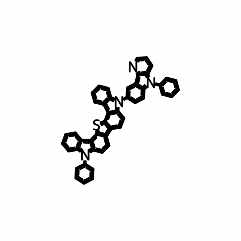 c1ccc(-n2c3ccc(-n4c5ccccc5c5c6sc7c(ccc8c7c7ccccc7n8-c7ccccc7)c6ccc54)cc3c3ncccc32)cc1